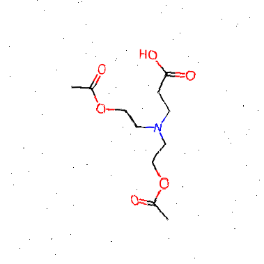 CC(=O)OCCN(CCOC(C)=O)CCC(=O)O